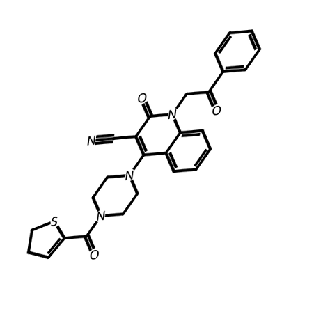 N#Cc1c(N2CCN(C(=O)C3=CCCS3)CC2)c2ccccc2n(CC(=O)c2ccccc2)c1=O